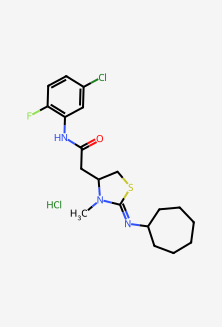 CN1C(=NC2CCCCCC2)SCC1CC(=O)Nc1cc(Cl)ccc1F.Cl